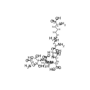 NC(CO)C(=O)O.NC(CS)C(=O)O.NC(Cc1c[nH]cn1)C(=O)O.NCC(=O)O.NCCCCC(N)C(=O)O.O=C(O)[C@@H]1CCCN1